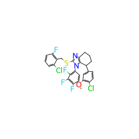 COc1cc(C2CCCc3nc(SCc4c(F)cccc4Cl)n(-c4ccc(F)c(F)c4F)c32)ccc1Cl